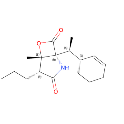 CCC[C@H]1C(=O)N[C@@]2([C@@H](C)[C@@H]3C=CCCC3)C(=O)O[C@@]12C